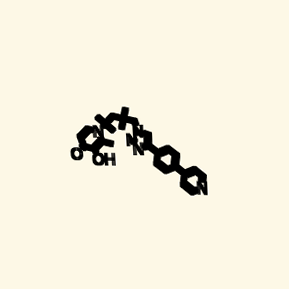 Cc1c(O)c(=O)ccn1C(C)(C)CC(C)(C)Cn1cc(-c2ccc(-c3ccncc3)cc2)nn1